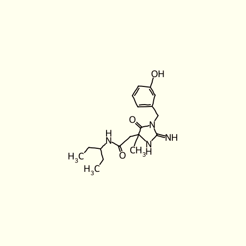 CCC(CC)NC(=O)CC1(C)NC(=N)N(Cc2cccc(O)c2)C1=O